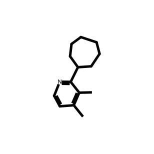 Cc1ccnc(C2CCCCCC2)c1C